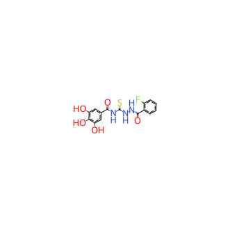 O=C(NC(=S)NNC(=O)c1ccccc1F)c1cc(O)c(O)c(O)c1